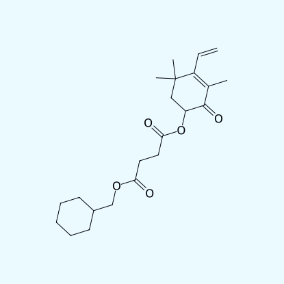 C=CC1=C(C)C(=O)C(OC(=O)CCC(=O)OCC2CCCCC2)CC1(C)C